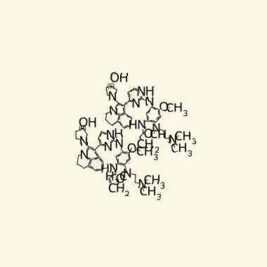 C=CC(=O)Nc1cc(Nc2nccc(-c3c(N4CC[C@@H](O)C4)n4c5c(cccc35)CCC4)n2)c(OC)cc1N(C)CCN(C)C.C=CC(=O)Nc1cc(Nc2nccc(-c3c(N4CC[C@H](O)C4)n4c5c(cccc35)CCC4)n2)c(OC)cc1N(C)CCN(C)C